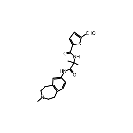 CN1CCc2ccc(NC(=O)C(C)(C)NC(=O)c3ccc(C=O)s3)cc2CC1